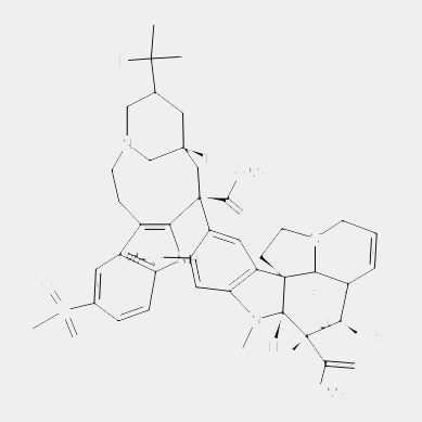 CC[C@]12C=CCN3CC[C@@]4(c5cc([C@@]6(C(=O)OC)C[C@H]7CC(C(C)(F)F)CN(CCc8c6[nH]c6ccc(S(C)(=O)=O)cc86)C7)c(OC)cc5N(C)[C@H]4[C@@](O)(C(=O)OC)[C@@H]1OC(C)=O)[C@@H]32